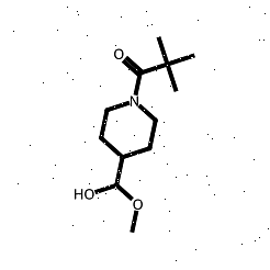 COC(O)C1CCN(C(=O)C(C)(C)C)CC1